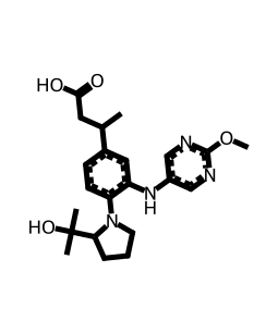 COc1ncc(Nc2cc(C(C)CC(=O)O)ccc2N2CCCC2C(C)(C)O)cn1